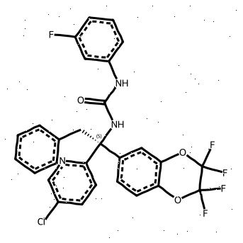 O=C(Nc1cccc(F)c1)N[C@@](Cc1ccccc1)(c1ccc2c(c1)OC(F)(F)C(F)(F)O2)c1ccc(Cl)cn1